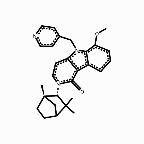 COc1cccc2c3c(=O)n([C@@H]4C(C)(C)C5CC[C@@]4(C)C5)ccc3n(Cc3ccncc3)c12